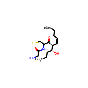 CCCCCCCCCCCC/C=C\[C@H](C(=O)C(CS)NC(=O)CN)[C@H](O)CCC(=O)O